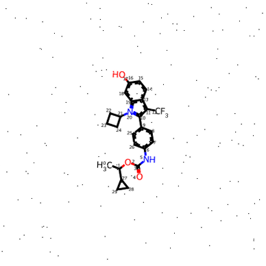 CC(OC(=O)Nc1ccc(-c2c(C(F)(F)F)c3ccc(O)cc3n2C2CCC2)cc1)C1CC1